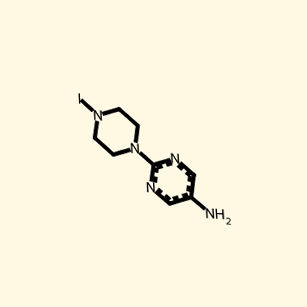 Nc1cnc(N2CCN(I)CC2)nc1